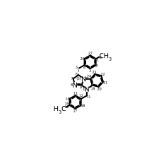 Cc1ccc(C[C@H]2CN=C3N(Cc4ccc(C)cc4)c4ccccc4N32)cc1